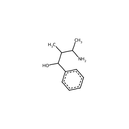 CC(N)C(C)C(O)c1ccccc1